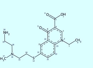 CCn1cc(C(=O)O)c(=O)c2cc(SCCN(C)CCN)ccc21